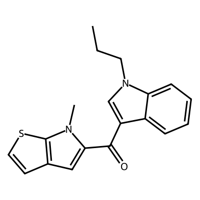 CCCn1cc(C(=O)c2cc3ccsc3n2C)c2ccccc21